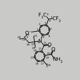 Cc1cc(C(C(F)(F)F)C(F)(F)F)ccc1N(C(=O)c1cccc(I)c1C(N)=O)C(C)(C)C[S+](C)[O-]